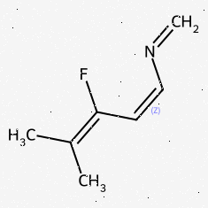 C=N/C=C\C(F)=C(C)C